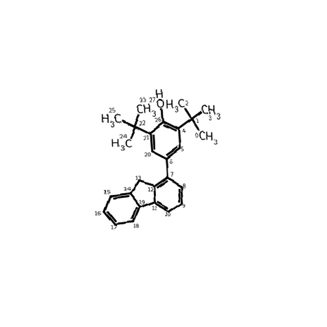 CC(C)(C)c1cc(-c2cccc3c2Cc2ccccc2-3)cc(C(C)(C)C)c1O